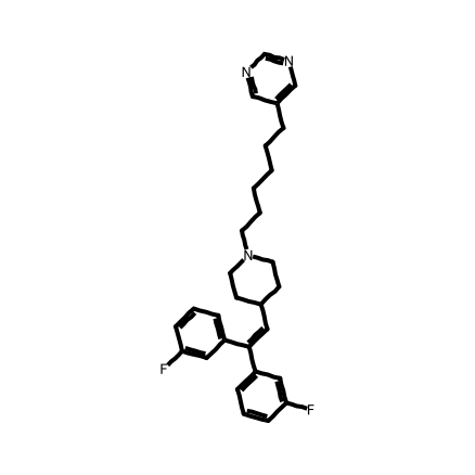 Fc1cccc(C(=CC2CCN(CCCCCCc3cncnc3)CC2)c2cccc(F)c2)c1